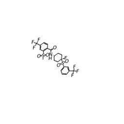 CS(=O)(=O)c1cc(C(F)(F)F)ccc1C(=O)N[C@H]1CC[C@@](F)(S(=O)(=O)c2cccc(C(F)(F)F)c2)CC1